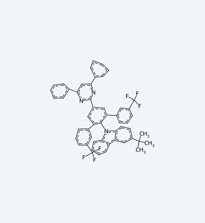 CC(C)(C)c1ccc2c(c1)c1ccccc1n2-c1c(-c2cccc(C(F)(F)F)c2)cc(-c2nc(-c3ccccc3)cc(-c3ccccc3)n2)cc1-c1cccc(C(F)(F)F)c1